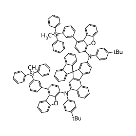 CC(C)(C)c1ccc(N(c2ccc3c(c2)C2(c4ccccc4-c4ccccc42)c2cc(N(c4ccc(C(C)(C)C)cc4)c4ccc(-c5cccc([Si](C)(c6ccccc6)c6ccccc6)c5)c5c4oc4ccccc45)c4ccccc4c2-3)c2ccc(-c3cccc([Si](C)(c4ccccc4)c4ccccc4)c3)c3c2oc2ccccc23)cc1